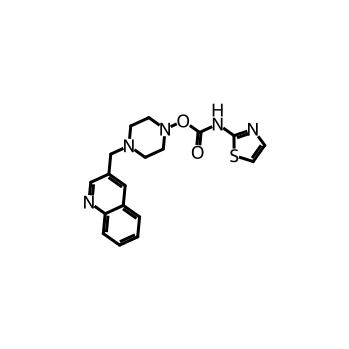 O=C(Nc1nccs1)ON1CCN(Cc2cnc3ccccc3c2)CC1